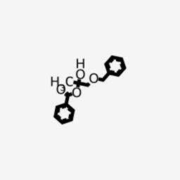 CC(O)(COCc1ccccc1)OC(=O)c1ccccc1